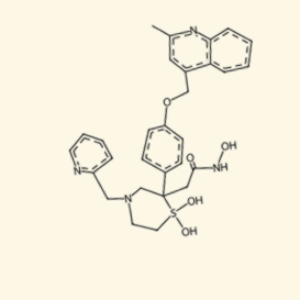 Cc1cc(COc2ccc(C3(CC(=O)NO)CN(Cc4ccccn4)CCS3(O)O)cc2)c2ccccc2n1